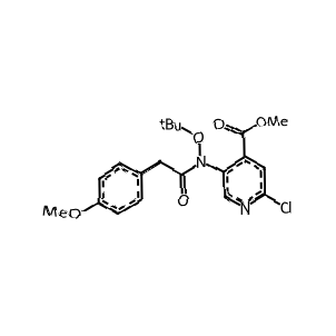 COC(=O)c1cc(Cl)ncc1N(OC(C)(C)C)C(=O)Cc1ccc(OC)cc1